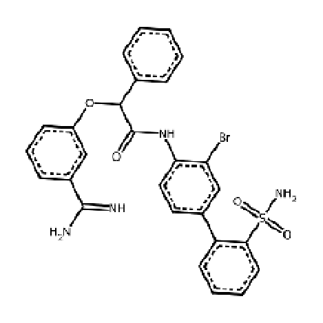 N=C(N)c1cccc(OC(C(=O)Nc2ccc(-c3ccccc3S(N)(=O)=O)cc2Br)c2ccccc2)c1